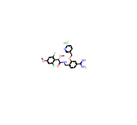 COc1cc(F)c([C@H](OC)C(=O)NCc2ccc(C(=N)N)cc2OCc2cccnc2)c(F)c1.Cl